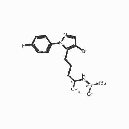 C[C@@H](CCCc1c(Br)cnn1-c1ccc(F)cc1)N[S@+]([O-])C(C)(C)C